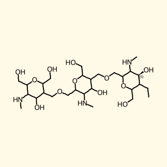 CCC1C(CO)OC(COCC2C(CO)OC(COCC3C(CO)OC(CO)C(NC)C3O)C(NC)C2O)C(NC)[C@H]1O